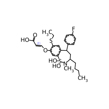 CCCCC1CC(c2ccc(F)cc2)c2cc(SCC)c(O/C=C/C(=O)O)cc2S(O)(O)N1C